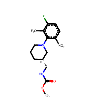 CC(C)(C)OC(=O)NC[C@@H]1CCCN(c2c([N+](=O)[O-])ccc(F)c2C(F)(F)F)C1